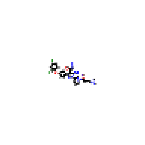 CN(C)C/C=C/C(=O)N1CCC[C@@H](n2nc(-c3ccc(Oc4ccc(F)cc4F)cc3)c(C(N)=O)c2N)C1